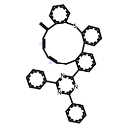 C=C1/C=C\C=C/Cc2c(-c3nc(-c4ccccc4)nc(-c4ccccc4)n3)cccc2-c2ccccc2Sc2ccccc21